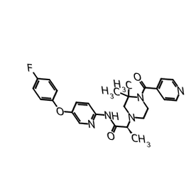 C[C@@H](C(=O)Nc1ccc(Oc2ccc(F)cc2)cn1)N1CCN(C(=O)c2ccncc2)C(C)(C)C1